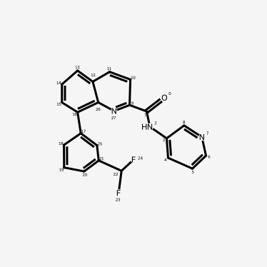 O=C(Nc1cccnc1)c1ccc2cccc(-c3cccc(C(F)F)c3)c2n1